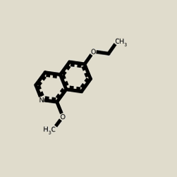 CCOc1ccc2c(OC)nccc2c1